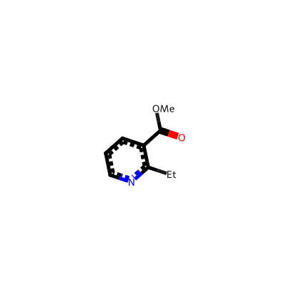 CCc1ncccc1C(=O)OC